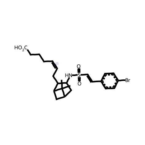 CC1(C)C2CC(NS(=O)(=O)C=Cc3ccc(Br)cc3)C(C/C=C\CCCC(=O)O)C1C2